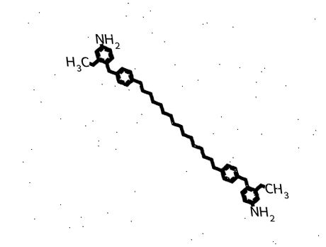 CCc1cc(N)ccc1Cc1ccc(CCCCCCCCCCCCCCCCc2ccc(Cc3ccc(N)cc3CC)cc2)cc1